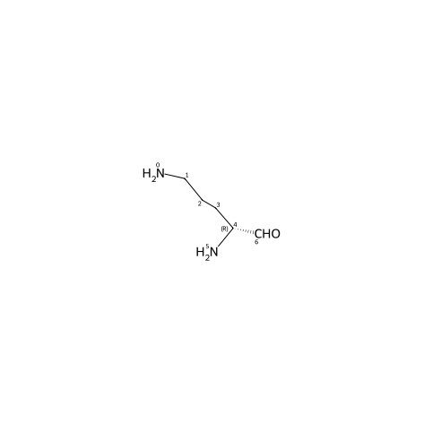 NCCC[C@@H](N)C=O